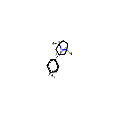 Cc1ccc([C@@H]2C[C@H]3CC[C@@H](C2)N3C)cc1